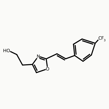 OCCc1coc(/C=C/c2ccc(C(F)(F)F)cc2)n1